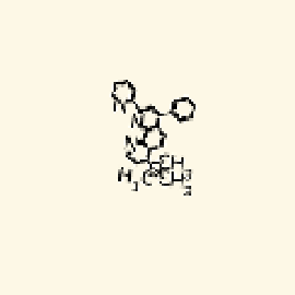 C[Si](C)(C)c1ccnc2c1ccc1c(-c3ccccc3)cc(-c3ccccn3)nc12